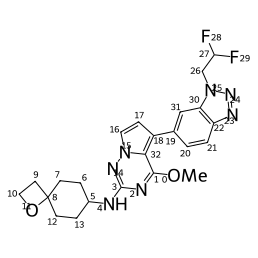 COc1nc(NC2CCC3(CCO3)CC2)nn2ccc(-c3ccc4nnn(CC(F)F)c4c3)c12